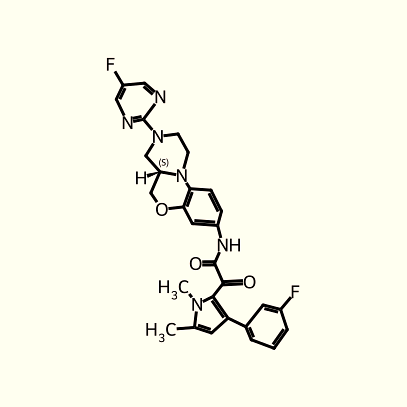 Cc1cc(-c2cccc(F)c2)c(C(=O)C(=O)Nc2ccc3c(c2)OC[C@@H]2CN(c4ncc(F)cn4)CCN32)n1C